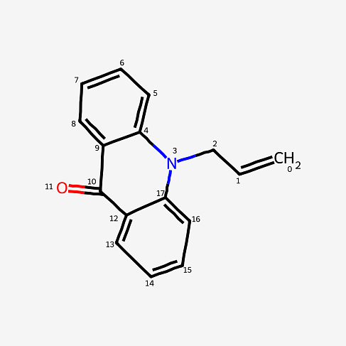 C=CCn1c2ccccc2c(=O)c2ccccc21